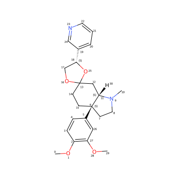 COc1ccc([C@]23CCN(C)[C@H]2CC2(CC3)OC[C@H](c3cccnc3)O2)cc1OC